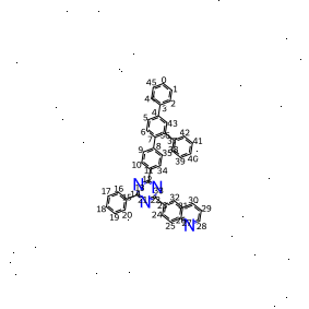 c1ccc(-c2ccc(-c3ccc(-c4nc(-c5ccccc5)nc(-c5ccc6ncccc6c5)n4)cc3)c(-c3ccccc3)c2)cc1